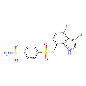 NS(=O)(=O)c1ccc(S(=O)(=O)Nc2ccc(Cl)c3c(Cl)c[nH]c23)cc1